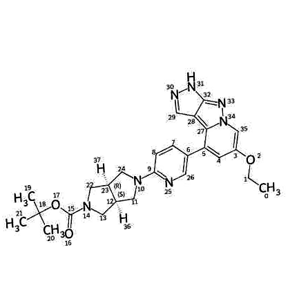 CCOc1cc(-c2ccc(N3C[C@H]4CN(C(=O)OC(C)(C)C)C[C@H]4C3)nc2)c2c3cn[nH]c3nn2c1